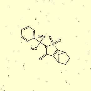 COC(OC(C)=O)(c1ccccc1)N1C(=O)C2=C(C3CCC2C3)S1(=O)=O